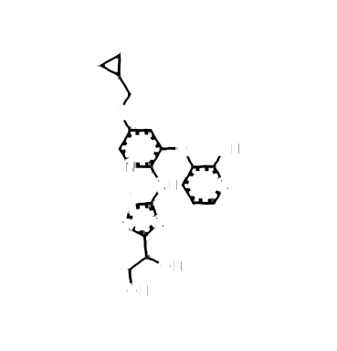 Cc1ncccc1Oc1cc(SCC2CC2)cnc1Nc1nc(C(O)CO)ns1